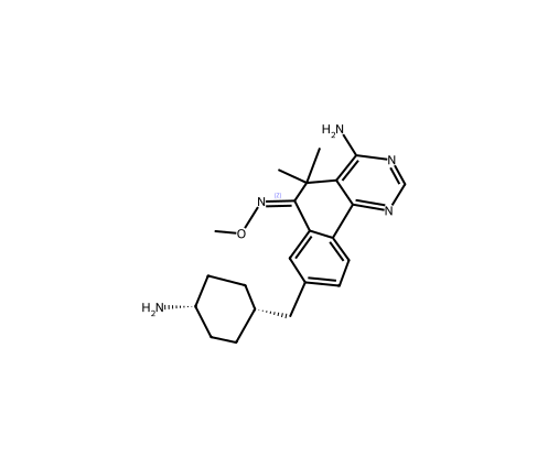 CO/N=C1\c2cc(C[C@H]3CC[C@@H](N)CC3)ccc2-c2ncnc(N)c2C1(C)C